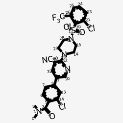 CN(C)C(=O)c1ccc(-c2cnc(N3CCN(S(=O)(=O)c4c(Cl)cccc4C(F)(F)F)CC3)c(C#N)c2)cc1Cl